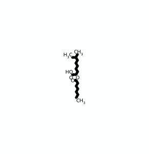 CCCCCCCC(=O)OC(CCCCCC(CC)CC)C(=O)O